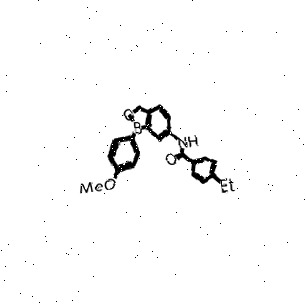 CCc1ccc(C(=O)Nc2ccc3c(c2)B(c2ccc(OC)cc2)OC3)cc1